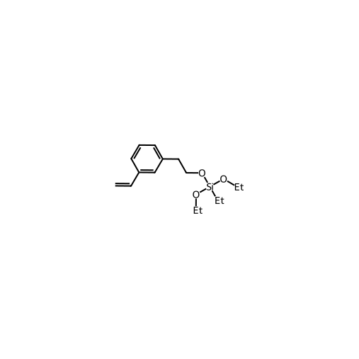 C=Cc1cccc(CCO[Si](CC)(OCC)OCC)c1